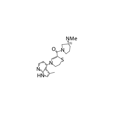 CN[C@H]1CCCN(C(=O)C2=CN(c3ccnc4[nH]cc(C)c34)CCS2)C1